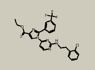 CCOC(=O)c1cn(-c2ccnc(NCCc3ccccc3Cl)n2)c(-c2cccc(C(F)(F)F)c2)n1